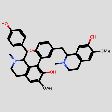 COc1cc2c(cc1O)C(Cc1ccc(O)c(-c3c(O)c(OC)cc4c3C(Cc3ccc(O)cc3)N(C)CC4)c1)N(C)CC2